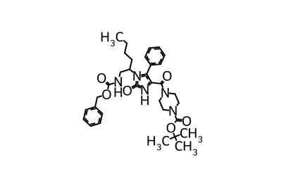 CCCCC(CNC(=O)OCc1ccccc1)n1c(-c2ccccc2)c(C(=O)N2CCN(C(=O)OC(C)(C)C)CC2)[nH]c1=O